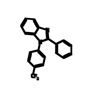 FC(F)(F)c1ccc(-n2c(-c3ccccc3)nc3ccccc32)cc1